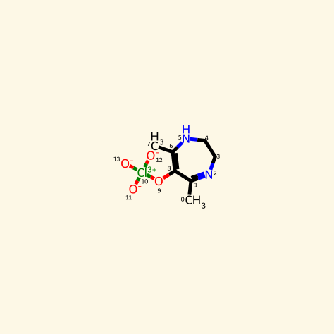 CC1=NCCNC(C)=C1O[Cl+3]([O-])([O-])[O-]